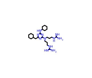 N=C(N)NCCCN(CCCNC(=N)N)c1nc(CC2CCCCC2)nc(NC2CCCCC2)n1